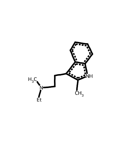 CCN(C)CCc1c(C)[nH]c2ccccc12